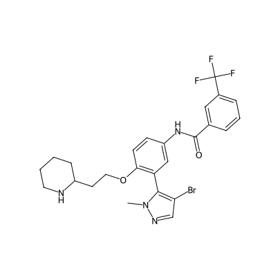 Cn1ncc(Br)c1-c1cc(NC(=O)c2cccc(C(F)(F)F)c2)ccc1OCCC1CCCCN1